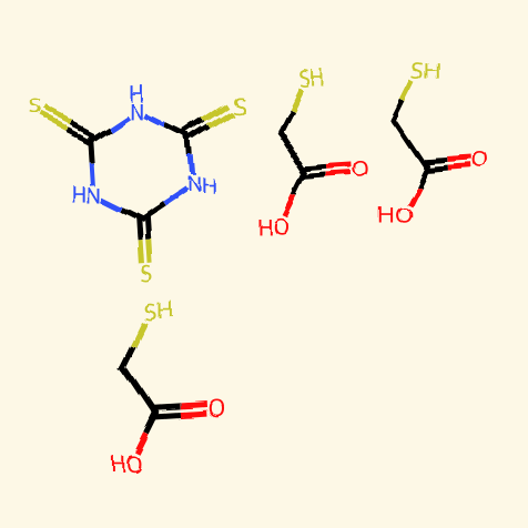 O=C(O)CS.O=C(O)CS.O=C(O)CS.S=c1[nH]c(=S)[nH]c(=S)[nH]1